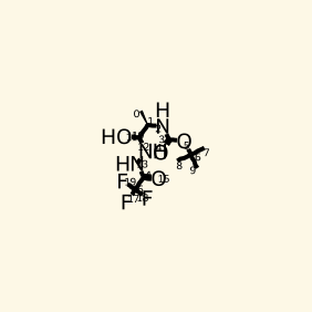 C[C@@H](NC(=O)OC(C)(C)C)C(O)NNC(=O)C(F)(F)F